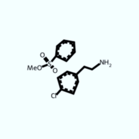 COS(=O)(=O)c1ccccc1.NCCc1ccc(Cl)cc1